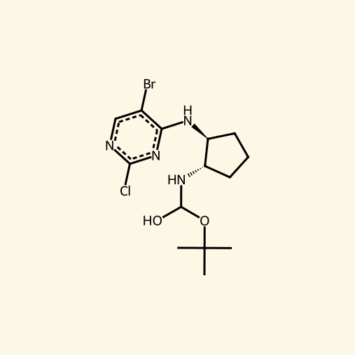 CC(C)(C)OC(O)N[C@H]1CCC[C@@H]1Nc1nc(Cl)ncc1Br